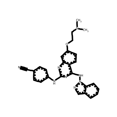 CN(C)CCOc1ccc2c(Nn3ncc4ccccc43)nc(Nc3ccc(C#N)cc3)nc2c1